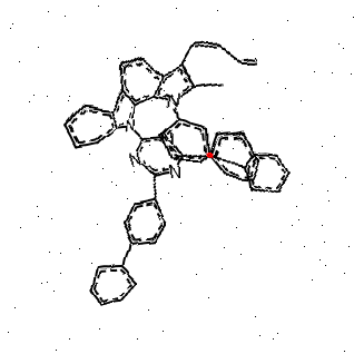 C=C/C=C\c1c(C)n(-c2cccc(-c3ccccc3)c2)c2c1ccc1c3ccccc3n(-c3nc(-c4ccccc4)nc(-c4ccc(-c5ccccc5)cc4)n3)c12